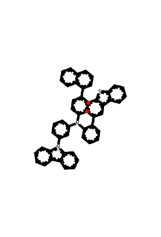 c1cc(N(c2ccc(-c3cccc4ccccc34)cc2)c2ccccc2-c2ccc3sc4ccccc4c3c2)cc(-n2c3ccccc3c3ccccc32)c1